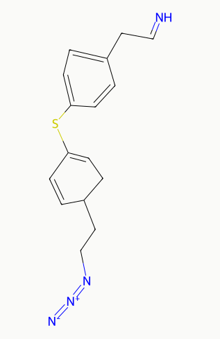 [N-]=[N+]=NCCC1C=CC(Sc2ccc(CC=N)cc2)=CC1